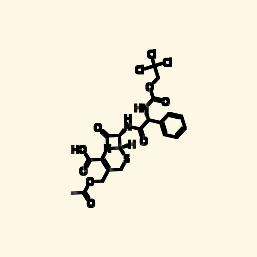 CC(=O)OCC1=C(C(=O)O)N2C(=O)[C@@H](NC(=O)[C@@H](NC(=O)OCC(Cl)(Cl)Cl)c3ccccc3)[C@@H]2SC1